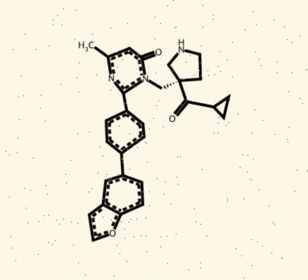 Cc1cc(=O)n(C[C@@]2(C(=O)C3CC3)CCNC2)c(-c2ccc(-c3ccc4occc4c3)cc2)n1